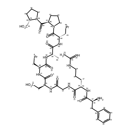 CC(C)C[C@H](NC(=O)[C@H](CC(=O)O)NC(=O)CNC(=O)[C@H](CCCNC(=N)N)NC(=O)[C@@H](N)Cc1ccccc1)C(=O)N[C@@H](C)C(=O)N[C@@H](CC(C)C)C(=O)N1CCC[C@@H]1C(=O)N1CCC[C@H]1C(=O)O